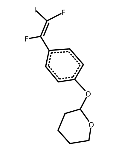 F/C(I)=C(/F)c1ccc(OC2CCCCO2)cc1